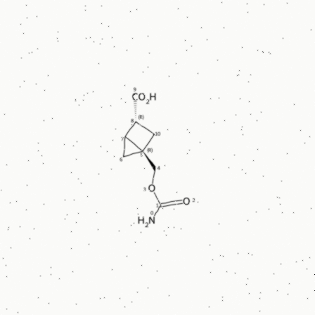 NC(=O)OC[C@@]12CC1[C@H](C(=O)O)C2